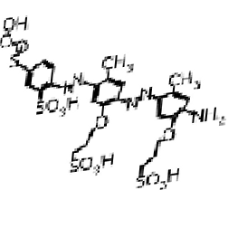 Cc1cc(N)c(OCCCS(=O)(=O)O)cc1N=Nc1cc(C)c(N=Nc2ccc(SOOO)cc2S(=O)(=O)O)cc1OCCCS(=O)(=O)O